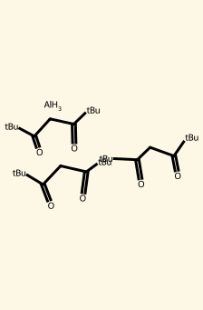 CC(C)(C)C(=O)CC(=O)C(C)(C)C.CC(C)(C)C(=O)CC(=O)C(C)(C)C.CC(C)(C)C(=O)CC(=O)C(C)(C)C.[AlH3]